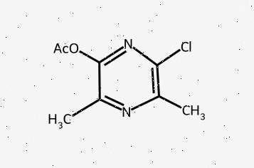 CC(=O)Oc1nc(Cl)c(C)nc1C